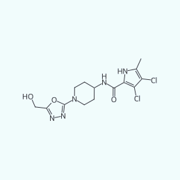 Cc1[nH]c(C(=O)NC2CCN(c3nnc(CO)o3)CC2)c(Cl)c1Cl